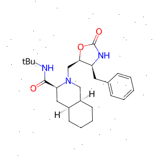 CC(C)(C)NC(=O)[C@@H]1C[C@@H]2CCCC[C@@H]2CN1C[C@H]1OC(=O)N[C@H]1Cc1ccccc1